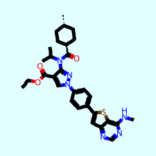 CCOC(=O)c1cn(-c2ccc(-c3cc4ncnc(NC)c4s3)cc2)nc1N(C(=O)[C@H]1CC[C@H](C)CC1)C(C)C